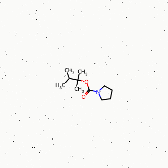 CC(C)C(C)(C)OC(=O)N1CCCC1